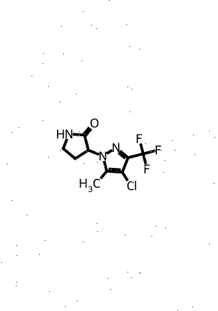 Cc1c(Cl)c(C(F)(F)F)nn1C1CCNC1=O